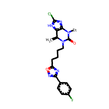 C=C1c2[nH]c(Cl)nc2N(CC)C(=O)N1CCCCc1nc(-c2ccc(F)cc2)no1